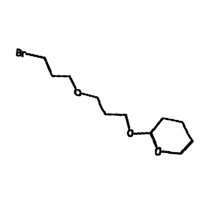 BrCCCOCCCOC1CCCCO1